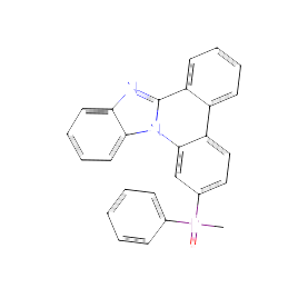 CP(=O)(c1ccccc1)c1ccc2c3ccccc3c3nc4ccccc4n3c2c1